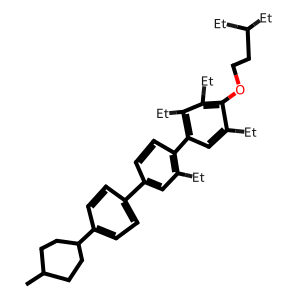 CCc1cc(-c2ccc(C3CCC(C)CC3)cc2)ccc1-c1cc(CC)c(OCCC(CC)CC)c(CC)c1CC